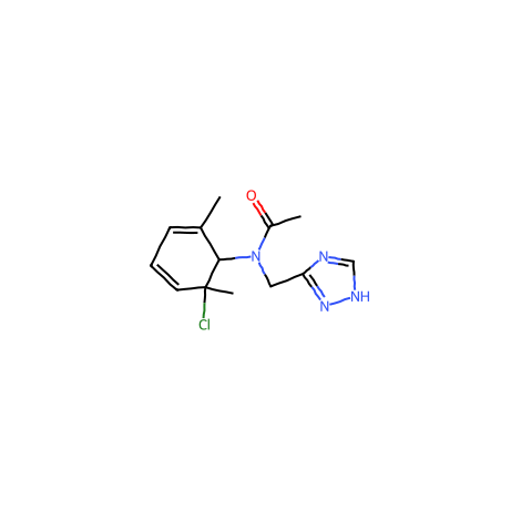 CC(=O)N(Cc1nc[nH]n1)C1C(C)=CC=CC1(C)Cl